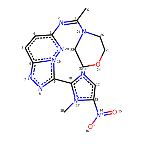 CC(=Nc1ccc2nnc(-c3ncc([N+](=O)[O-])n3C)n2n1)N1CCOCC1